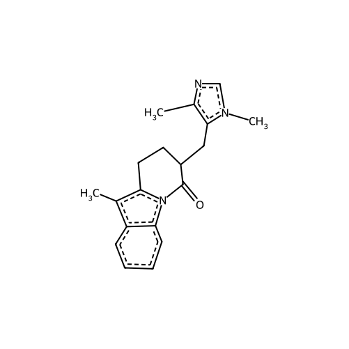 Cc1ncn(C)c1CC1CCc2c(C)c3ccccc3n2C1=O